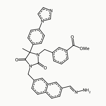 COC(=O)c1cccc(CN2C(=O)N(Cc3ccc4ccc(C=NN)cc4c3)C(=O)C2(C)c2ccc(-n3ccnc3)cc2)c1